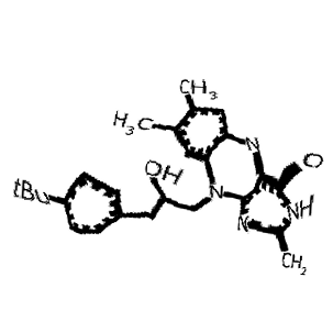 C=c1nc2c(c(=O)[nH]1)=Nc1cc(C)c(C)cc1N2CC(O)Cc1ccc(C(C)(C)C)cc1